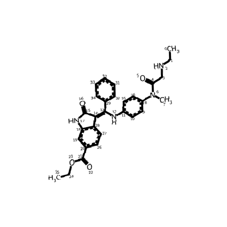 CCNCC(=O)N(C)c1ccc(N/C(=C2/C(=O)Nc3cc(C(=O)OCC)ccc32)c2ccccc2)cc1